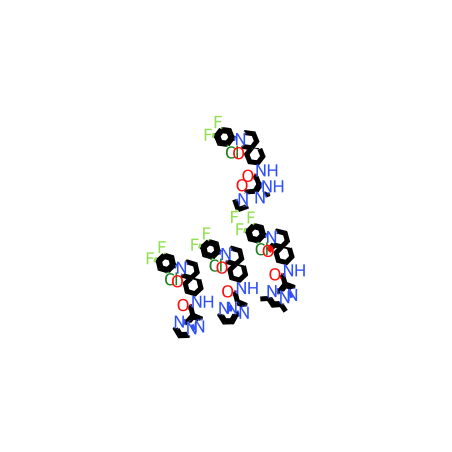 Cc1cc(C)n2ncc(C(=O)N[C@H]3CC[C@@]4(CCCN(c5cc(F)c(F)cc5Cl)C4=O)CC3)c2n1.O=C(N[C@H]1CC[C@@]2(CCCN(c3cc(F)c(F)cc3Cl)C2=O)CC1)c1cnc2cccnn12.O=C(N[C@H]1CC[C@@]2(CCCN(c3cc(F)c(F)cc3Cl)C2=O)CC1)c1cnn2cccnc12.O=C(N[C@H]1CC[C@]2(CCCN(c3cc(F)c(F)cc3Cl)C2=O)CC1)c1[nH]cnc1C(=O)N1CC(F)C1